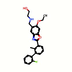 Cc1c(-c2nc3cc(CNCCO)c(OCC#N)cc3o2)cccc1-c1ccccc1F